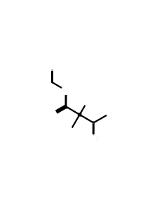 CCC(C)(C(=O)OCC(F)(F)F)C(C)C(F)(F)F